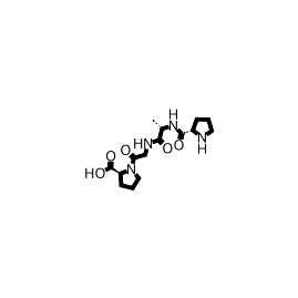 C[C@H](NC(=O)[C@@H]1CCCN1)C(=O)NCC(=O)N1CCC[C@H]1C(=O)O